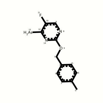 Cc1ccc(COc2ncc(F)c([AsH2])n2)cc1